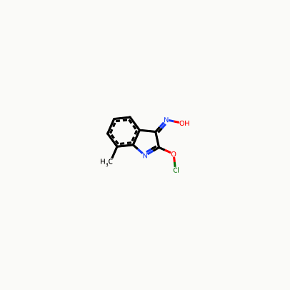 Cc1cccc2c1N=C(OCl)C2=NO